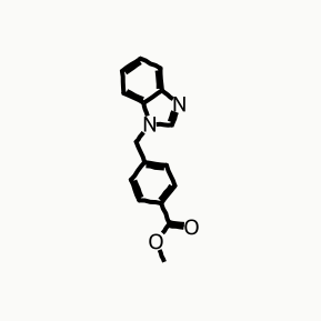 COC(=O)c1ccc(Cn2cnc3ccccc32)cc1